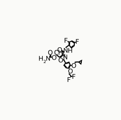 C[C@H](OC(N)=O)c1oc(-c2ccc(OCC(F)F)c(OCC3CC3)c2)nc1C(=O)NCc1ccc(F)cc1F